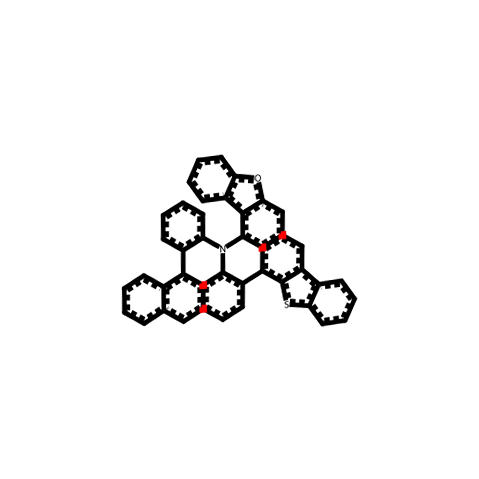 c1ccc(N(c2ccccc2-c2cccc3c2sc2ccccc23)c2cccc3oc4ccccc4c23)c(-c2cccc3ccccc23)c1